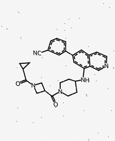 N#Cc1cccc(-c2cc(NC3CCN(C(=O)C4CN(C(=O)C5CC5)C4)CC3)c3cnccc3c2)c1